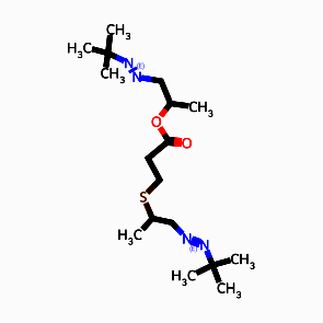 CC(C/N=N/C(C)(C)C)OC(=O)CCSC(C)C/N=N/C(C)(C)C